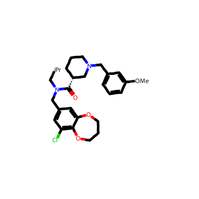 COc1cccc(CN2CCC[C@@H](C(=O)N(Cc3cc(Cl)c4c(c3)OCCCO4)CC(C)C)C2)c1